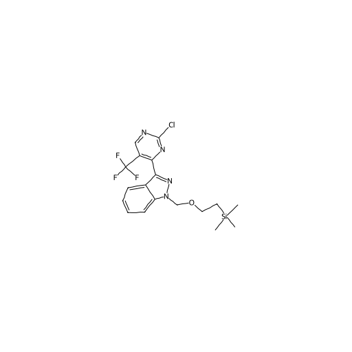 C[Si](C)(C)CCOCn1nc(-c2nc(Cl)ncc2C(F)(F)F)c2ccccc21